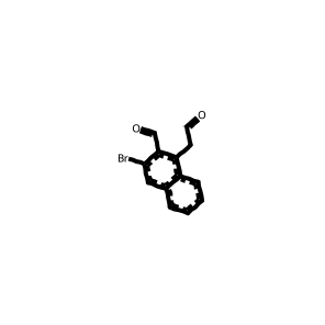 O=[C]Cc1c(C=O)c(Br)cc2ccccc12